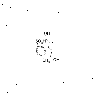 Cc1ccc(S(=O)(=O)O)cc1.OCCCCCO